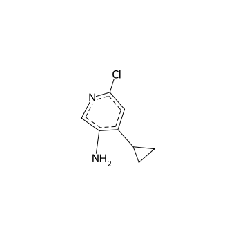 Nc1cnc(Cl)cc1C1CC1